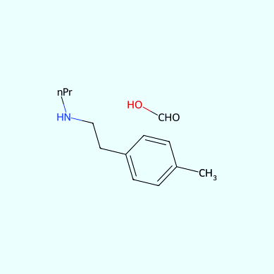 CCCNCCc1ccc(C)cc1.O=CO